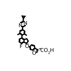 Cc1cc(-c2cnc(C3CC3)cn2)cc(C)c1-c1ccc(F)c2c1CC[C@H]2Oc1ccc2c(c1)OC[C@H]2CC(=O)O